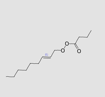 CCCCCC/C=C/COOC(=O)CCC